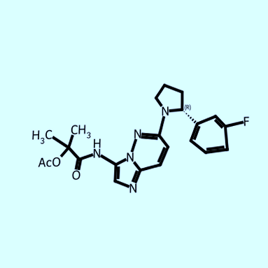 CC(=O)OC(C)(C)C(=O)Nc1cnc2ccc(N3CCC[C@@H]3c3cccc(F)c3)nn12